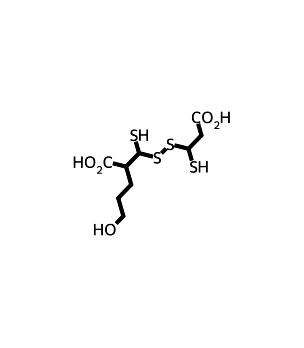 O=C(O)CC(S)SSC(S)C(CCCO)C(=O)O